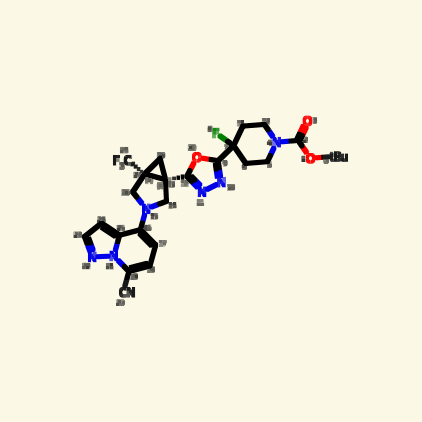 CC(C)(C)OC(=O)N1CCC(F)(c2nnc([C@]34CN(c5ccc(C#N)n6nccc56)C[C@@]3(C(F)(F)F)C4)o2)CC1